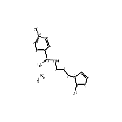 CCc1nccn1CCCNC(C)c1ccc(Cl)cc1.Cl.Cl